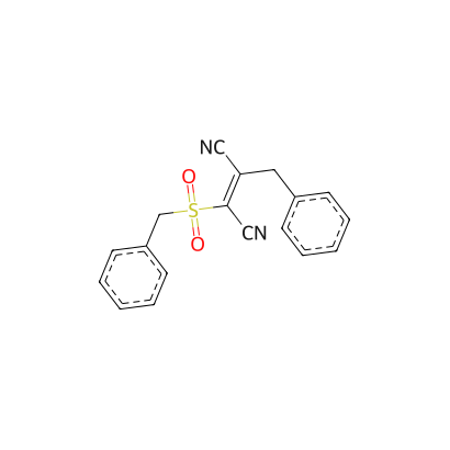 N#CC(Cc1ccccc1)=C(C#N)S(=O)(=O)Cc1ccccc1